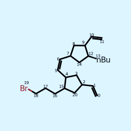 C=CC1CC(/C=C\C2CC(C=C)C(CCCC)C2)C(CCCBr)C1